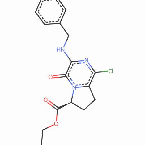 CCOC(=O)[C@@H]1CCc2c(Cl)nc(NCc3ccccc3)c(=O)n21